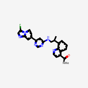 CNC(=O)c1ccnc2c(C(C)CNc3cc(-c4ccn5c(F)cnc5c4)ncn3)cccc12